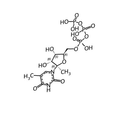 Cc1cn([C@]2(C)O[C@H](COP(=O)(O)OP(=O)(O)OP(=O)(O)O)[C@@H](O)[C@H]2O)c(=O)[nH]c1=O